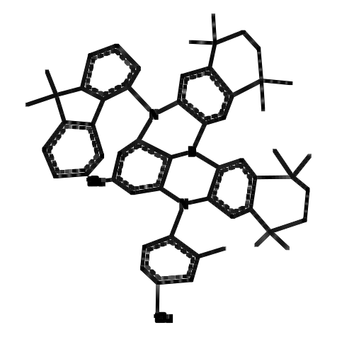 Cc1cc(C(C)(C)C)ccc1N1c2cc3c(cc2B2c4cc5c(cc4N(c4cccc6c4-c4ccccc4C6(C)C)c4cc(C(C)(C)C)cc1c42)C(C)(C)CCC5(C)C)C(C)(C)CCC3(C)C